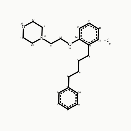 Cl.c1ccc(CCCCc2ccccc2OCCN2CCOCC2)cc1